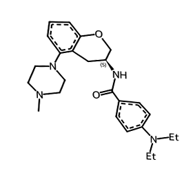 CCN(CC)c1ccc(C(=O)N[C@@H]2COc3cccc(N4CCN(C)CC4)c3C2)cc1